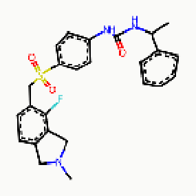 CC(NC(=O)Nc1ccc(S(=O)(=O)Cc2ccc3c(c2F)CN(C)C3)cc1)c1ccccc1